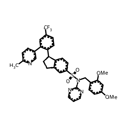 COc1ccc(CN(c2ncccn2)S(=O)(=O)c2ccc3c(c2)CCC3c2ccc(C(F)(F)F)cc2-c2ccc(C)nc2)c(OC)c1